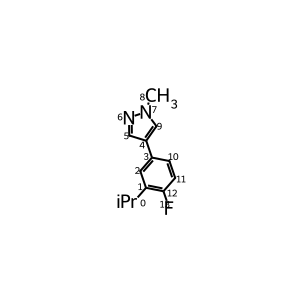 CC(C)c1cc(-c2cnn(C)c2)ccc1F